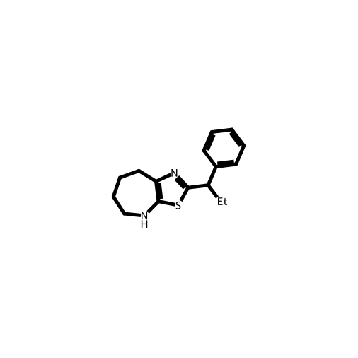 CCC(c1ccccc1)c1nc2c(s1)NCCCC2